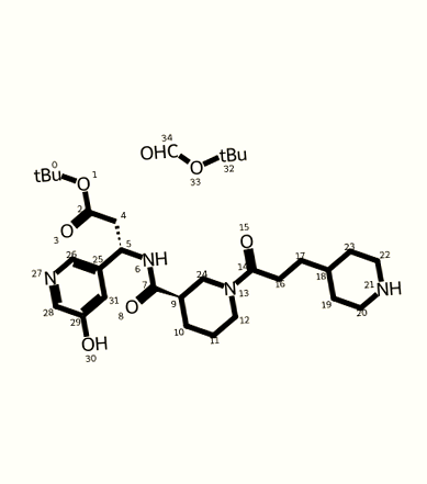 CC(C)(C)OC(=O)C[C@H](NC(=O)[C@@H]1CCCN(C(=O)CCC2CCNCC2)C1)c1cncc(O)c1.CC(C)(C)OC=O